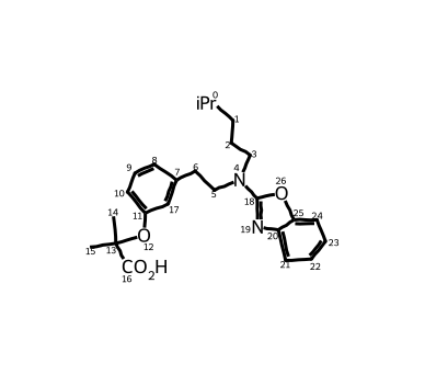 CC(C)CCCN(CCc1cccc(OC(C)(C)C(=O)O)c1)c1nc2ccccc2o1